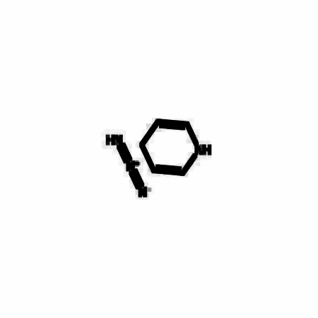 C1=CNC=CC1.[N-]=[N+]=N